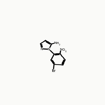 Nc1ccnn1-c1cc(Br)ccc1[N+](=O)[O-]